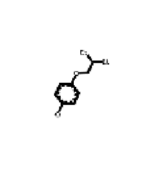 CCC(CC)COc1ccc([O])cc1